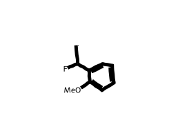 [CH2]C(F)c1ccccc1OC